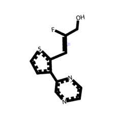 OC/C(F)=C/c1sccc1-c1cnccn1